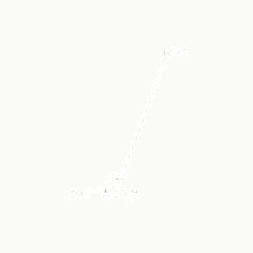 CCCCCCCCC=CCCCCCCCCCCCCCCCCCCCCCCCCOC(=O)CC(OC(=O)CCCCCCCCCCCCC)C(=O)O